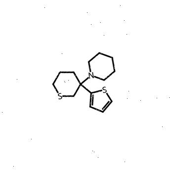 c1csc(C2(N3CCCCC3)CCCSC2)c1